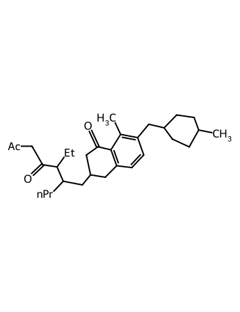 CCCC(CC1CC(=O)c2c(ccc(CC3CCC(C)CC3)c2C)C1)C(CC)C(=O)CC(C)=O